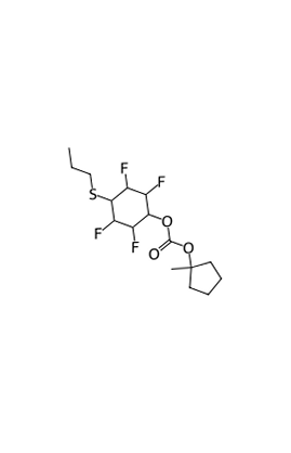 CCCSC1C(F)C(F)C(OC(=O)OC2(C)CCCC2)C(F)C1F